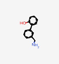 NCc1cccc(-c2[c]cccc2O)c1